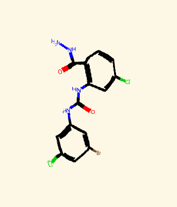 NNC(=O)c1ccc(Cl)cc1NC(=O)Nc1cc(Cl)cc(Br)c1